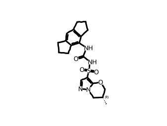 C[C@H]1COc2c(S(=O)(=O)NC(=O)Nc3c4c(cc5c3CCC5)CCC4)cnn2C1